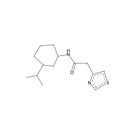 CC(C)C1CCCC(NC(=O)Cc2cscn2)C1